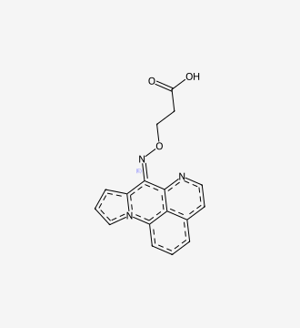 O=C(O)CCO/N=c1\c2nccc3cccc(c32)n2cccc12